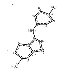 FC(F)(F)c1ccc2c(Nc3ccc(Cl)nc3)noc2n1